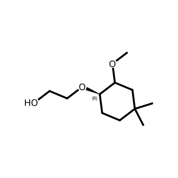 COC1CC(C)(C)CC[C@H]1OCCO